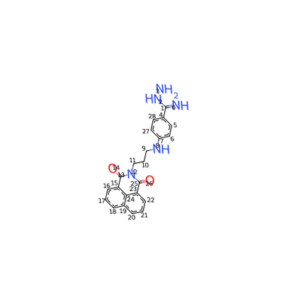 N=C(NN)c1ccc(NCCCN2C(=O)c3cccc4cccc(c34)C2=O)cc1